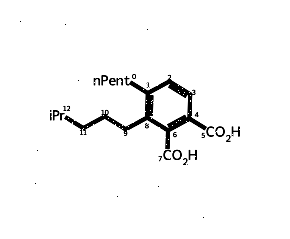 CCCCCc1ccc(C(=O)O)c(C(=O)O)c1CCCC(C)C